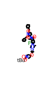 CC1CN(C2CC(OC3CCN(C(=O)OC(C)(C)C)CC3)C2)CCN1c1ccc2c(c1F)C(C)N(c1ccc(OCc3ccccc3)nc1OCc1ccccc1)C2=O